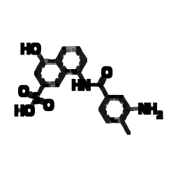 Cc1ccc(C(=O)Nc2cccc3c(O)cc(S(=O)(=O)O)cc23)cc1N